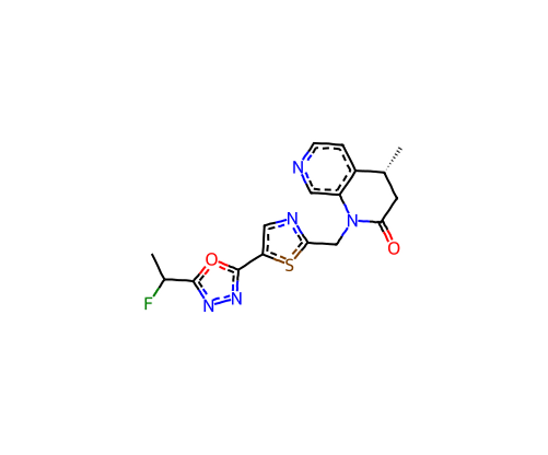 CC(F)c1nnc(-c2cnc(CN3C(=O)C[C@@H](C)c4ccncc43)s2)o1